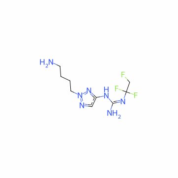 NCCCCn1ncc(N/C(N)=N\C(F)(F)CF)n1